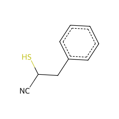 N#CC(S)Cc1ccccc1